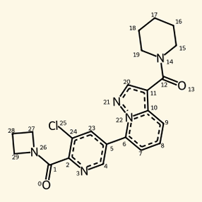 O=C(c1ncc(-c2cccc3c(C(=O)N4CCCCC4)cnn23)cc1Cl)N1CCC1